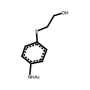 CC(=O)Nc1ccc(SCCO)cc1